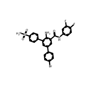 Nc1c(C(=O)Nc2ccc(F)c(F)c2)cc(-c2ccc(Br)cc2)cc1-c1ccc(S(N)(=O)=O)cc1